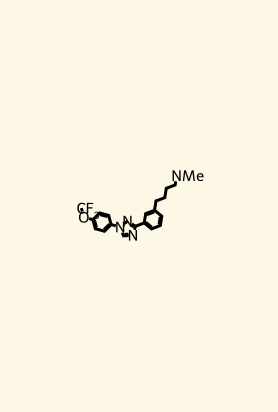 CNCCCCc1cccc(-c2ncn(-c3ccc(OC(F)(F)F)cc3)n2)c1